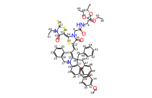 CCO[Si](CNC(=O)Cn1c(=O)/c(=C/C=C2/N(Cc3ccccc3)c3ccc(-c4ccc(OC)cc4)cc3C2(Cc2ccccc2)Cc2ccccc2)s/c1=C1/SC(=S)N(CC)C1=O)(OCC)OCC